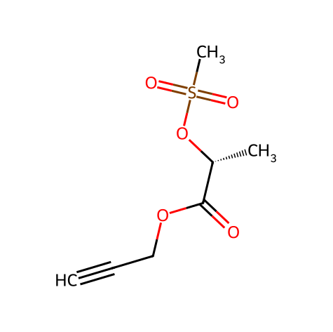 C#CCOC(=O)[C@@H](C)OS(C)(=O)=O